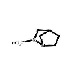 O=C(O)N1CC2CCN1C2